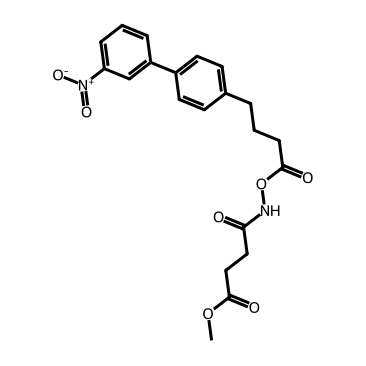 COC(=O)CCC(=O)NOC(=O)CCCc1ccc(-c2cccc([N+](=O)[O-])c2)cc1